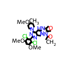 C=CC(=O)N[C@H]1COC[C@H]1Nc1cc2c(N3CCC(C)(OC)CC3)nc(-c3c(Cl)c(OC)cc(OC)c3Cl)nc2cn1